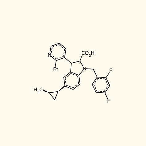 CCc1ncccc1C1c2cc([C@H]3C[C@H]3C)ccc2N(Cc2ccc(F)cc2F)C1C(=O)O